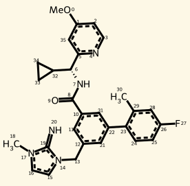 COc1ccnc([C@H](NC(=O)c2cc(Cn3ccn(C)c3=N)cc(-c3ccc(F)cc3C)c2)C2CC2)c1